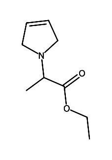 CCOC(=O)C(C)N1CC=CC1